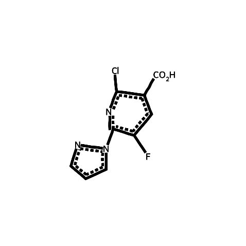 O=C(O)c1cc(F)c(-n2cccn2)nc1Cl